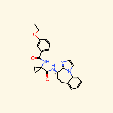 CCOc1cccc(C(=O)NC2(C(=O)N[C@@H]3CCc4ccccc4-n4ccnc43)CC2)c1